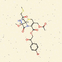 CO[C@@]1(NC(=O)CSC)C(=O)N2C(C(=O)OCC(=O)c3ccc(Br)cc3)=C(COC(C)=O)CS[C@H]21